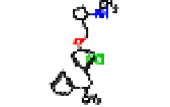 CNC1CCCC1COc1ccc(CC(C)c2ccccc2)cc1.Cl